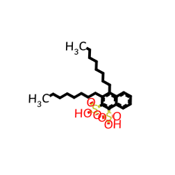 CCCCCCCCc1c(S(=O)(=O)O)c(S(=O)(=O)O)c2ccccc2c1CCCCCCCC